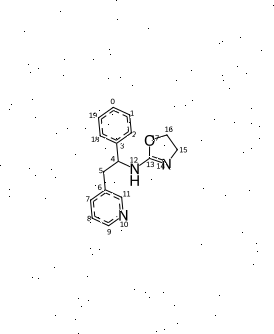 c1ccc(C(Cc2cccnc2)NC2=NCCO2)cc1